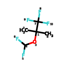 CC(C)(OC(F)F)C(F)(F)F